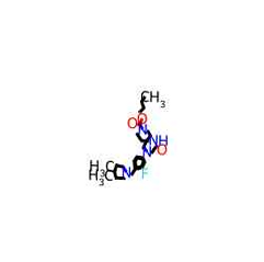 CCCCOC(=O)N1CCC2(CC1)CN(c1ccc(CN3CCC(C)(C)CC3)c(F)c1)CC(=O)N2